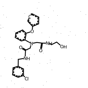 O=C(CN(CC(=O)NCc1cccc(Cl)c1)c1ccccc1Oc1ccccc1)NCCO